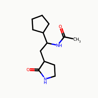 CC(=O)NC(CC1CCNC1=O)C1CCCC1